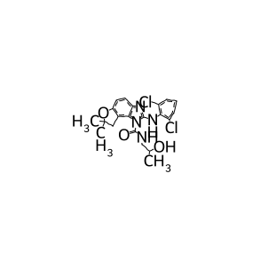 CC(O)CNC(=O)n1c(Nc2c(Cl)cccc2Cl)nc2ccc3c(c21)CC(C)(C)O3